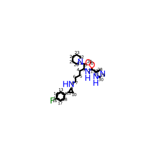 O=C(NC(CCCCN[C@@H]1C[C@H]1c1ccc(F)cc1)C(=O)N1CCCCC1)c1cnc[nH]1